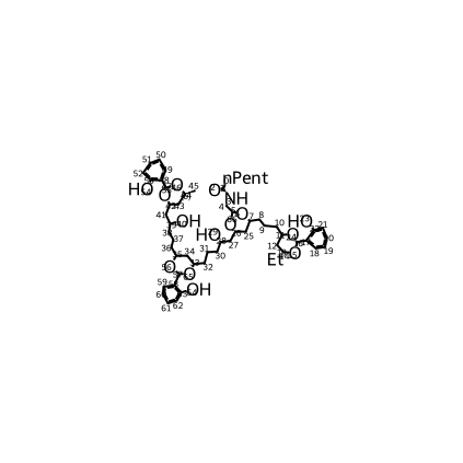 CCCCCC(=O)NCC1OC(CCCC2CC(CC)OC(c3ccccc3O)O2)CC(CC(O)CCCC2CC(CCCC(O)CC3C[C@H](C)OC(c4ccccc4O)O3)OC(c3ccccc3O)O2)O1